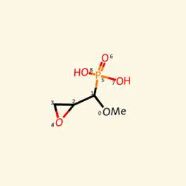 COC(C1CO1)P(=O)(O)O